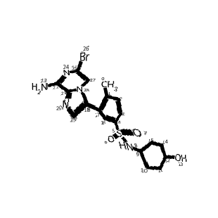 Cc1ccc(S(=O)(=O)NC2CCC(O)CC2)cc1-c1cnc2c(N)nc(Br)cn12